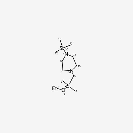 CCO[Si](C)(C)CN1CCN([Si](C)(C)C)CC1